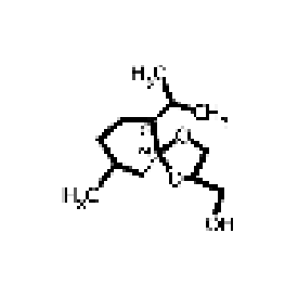 CC1CC[C@@H](C(C)C)[C@@]2(C1)OCC(CO)O2